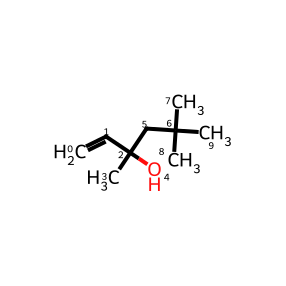 C=CC(C)(O)CC(C)(C)C